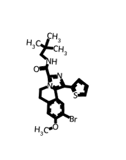 COc1cc2c(cc1Br)-c1c(-c3cccs3)nc(C(=O)NCC(C)(C)C)n1CC2